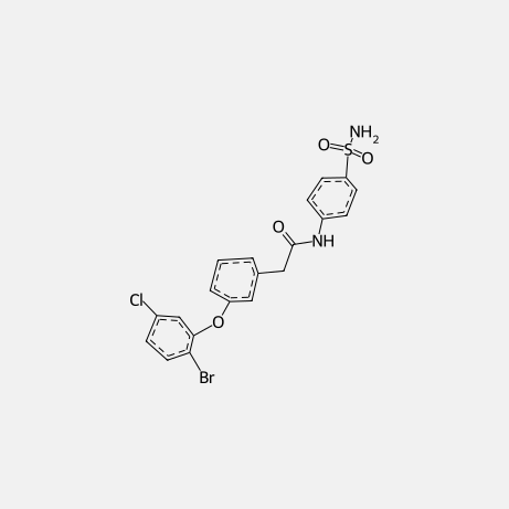 NS(=O)(=O)c1ccc(NC(=O)Cc2cccc(Oc3cc(Cl)ccc3Br)c2)cc1